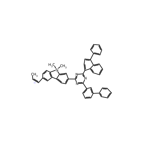 C/C=C\c1ccc2c(c1)-c1ccc(-c3nc(-c4cccc(-c5ccccc5)c4)nc(-c4ccc(-c5ccccc5)c5ccccc45)n3)cc1[Si]2(C)C